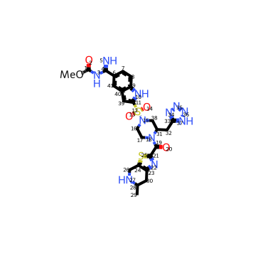 COC(=O)NC(=N)c1ccc2[nH]c(S(=O)(=O)N3CCN(C(=O)c4nc5c(s4)CNC(C)C5)C(Cc4nnn[nH]4)C3)cc2c1